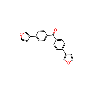 O=C(c1ccc(-c2ccoc2)cc1)c1ccc(-c2ccoc2)cc1